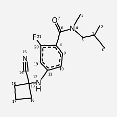 CC(C)CN(C)C(=O)c1ccc(NC2(C#N)CCC2)cc1F